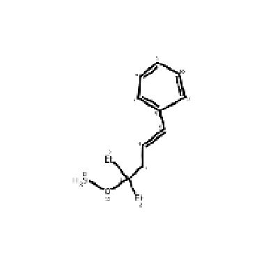 CCC(CC)(CC=Cc1ccccc1)O[SiH3]